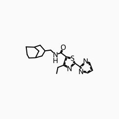 CCc1nc(-c2ncccn2)sc1C(=O)NCC1CC2CCCC(C2)C1